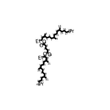 CCC(C=C(C)CCCC(C)CCCC(C)CCCC(C)C)OC(=O)CCCC(=O)OC(C=C(C)CCCC(C)CCCC(C)CCCC(C)C)CC